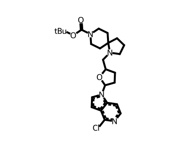 CC(C)(C)OC(=O)N1CCC2(CCCN2CC2CCC(n3ccc4c(Cl)nccc43)O2)CC1